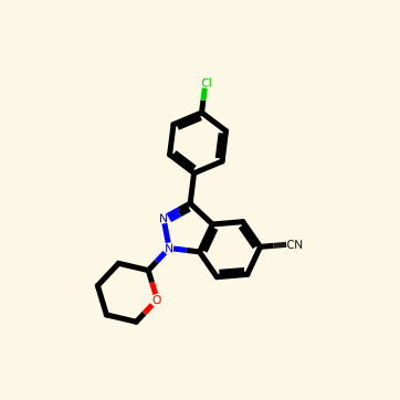 N#Cc1ccc2c(c1)c(-c1ccc(Cl)cc1)nn2C1CCCCO1